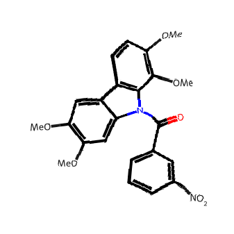 COc1cc2c3ccc(OC)c(OC)c3n(C(=O)c3cccc([N+](=O)[O-])c3)c2cc1OC